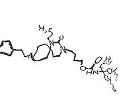 CCCN1C(=O)N(CCCOC(=O)NC(C)(C)C)CCC12CCN(CCc1ccccc1)CC2